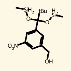 C[SiH2]OC(O[SiH2]C)(c1cc(CO)cc([N+](=O)[O-])c1)C(C)(C)C